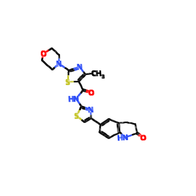 Cc1nc(N2CCOCC2)sc1C(=O)Nc1nc(-c2ccc3c(c2)CCC(=O)N3)cs1